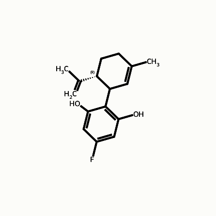 C=C(C)[C@@H]1CCC(C)=CC1c1c(O)cc(F)cc1O